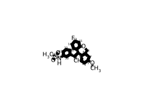 COc1ccc2c(c1)COc1cc(F)ccc1/C2=C(/C)c1cccc(NS(C)(=O)=O)c1